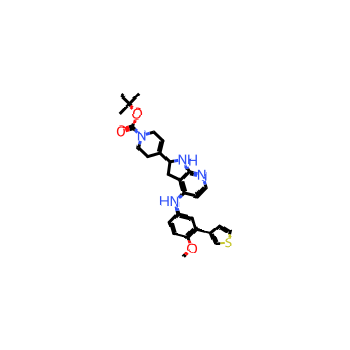 COc1ccc(Nc2ccnc3c2CC(C2=CCN(C(=O)OC(C)(C)C)CC2)N3)cc1-c1ccsc1